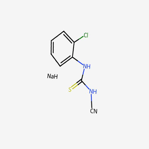 N#CNC(=S)Nc1ccccc1Cl.[NaH]